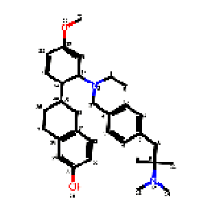 CCN(Cc1ccc(CC(C)(C)N(C)C)cc1)C1C=C(OC)C=CC1[C@@H]1CCc2cc(O)ccc2C1